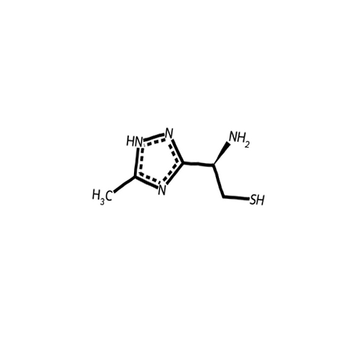 Cc1nc([C@@H](N)CS)n[nH]1